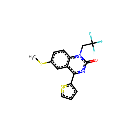 CSc1ccc2c(c1)c(-c1cccs1)nc(=O)n2CC(F)(F)F